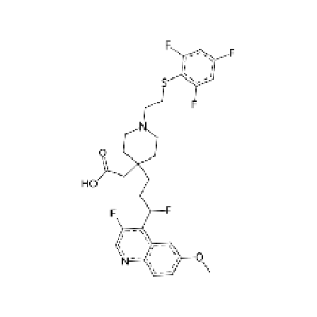 COc1ccc2ncc(F)c(C(F)CCC3(CC(=O)O)CCN(CCSc4c(F)cc(F)cc4F)CC3)c2c1